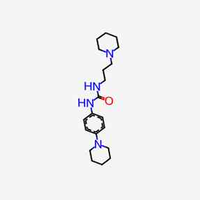 O=C(NCCCN1CCCCC1)Nc1ccc(N2CCCCC2)cc1